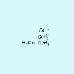 [Ce+3].[GeH2-].[GeH2-].[GeH2-]